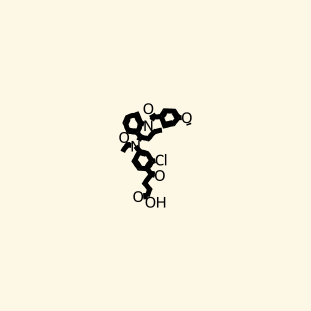 COc1ccc(C(=O)N2c3ccccc3C(N(C(C)=O)c3ccc(C(=O)CCC(=O)O)c(Cl)c3)CC2C)cc1